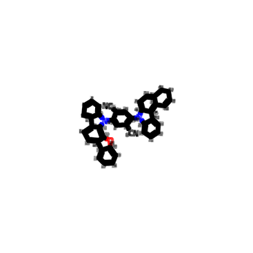 N#Cc1cc(-n2c3ccccc3c3ccc4c5ccccc5oc4c32)c(C#N)cc1-n1c2ccccc2c2c3c(ccc21)CCC=C3